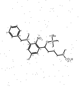 CN(CCCC(O[Si](C)(C)C(C)(C)C)c1cc(F)cc(N(C)Cc2ccccc2)c1[N+](=O)[O-])C(=O)O